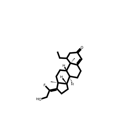 CCC1CC(=O)C=C2CC[C@H]3[C@@H]4CCC(=C(F)CO)[C@@]4(C)CC[C@@H]3[C@]21C